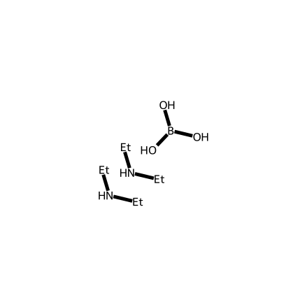 CCNCC.CCNCC.OB(O)O